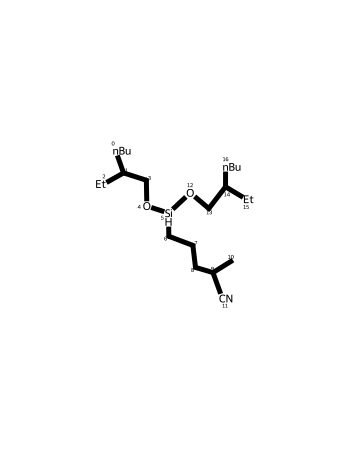 CCCCC(CC)CO[SiH](CCCC(C)C#N)OCC(CC)CCCC